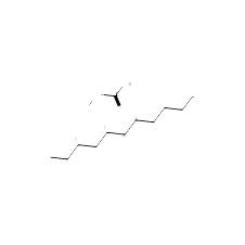 CCCCCCCCCCC.CCCCOC(=O)CCC